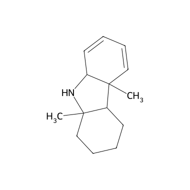 CC12CCCCC1C1(C)C=CC=CC1N2